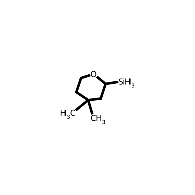 CC1(C)CCOC([SiH3])C1